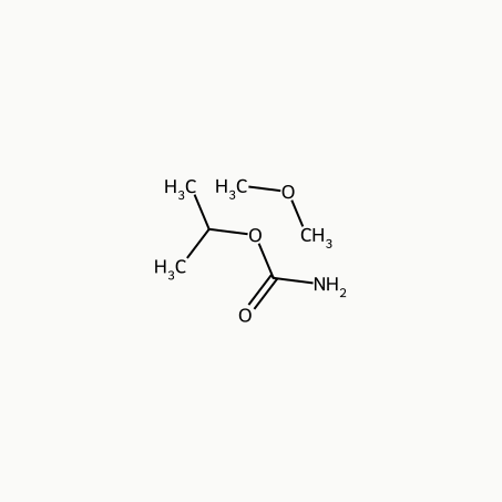 CC(C)OC(N)=O.COC